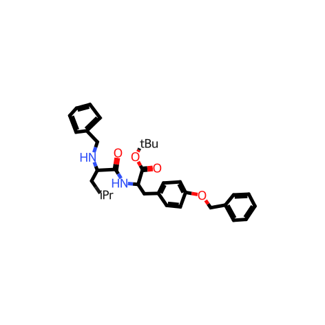 CC(C)CC(NCc1ccccc1)C(=O)NC(Cc1ccc(OCc2ccccc2)cc1)C(=O)OC(C)(C)C